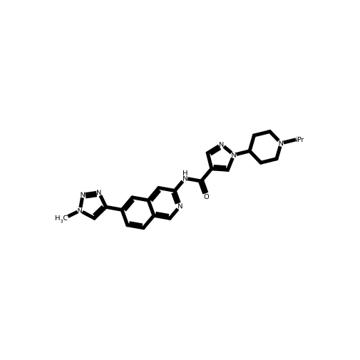 CC(C)N1CCC(n2cc(C(=O)Nc3cc4cc(-c5cn(C)nn5)ccc4cn3)cn2)CC1